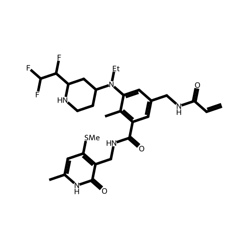 C=CC(=O)NCc1cc(C(=O)NCc2c(SC)cc(C)[nH]c2=O)c(C)c(N(CC)C2CCNC(C(F)C(F)F)C2)c1